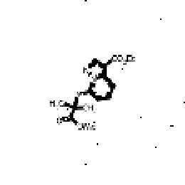 CCOC(=O)c1cnn2c(SC(C)(C)C(=O)OC)cccc12